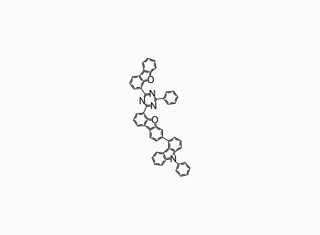 c1ccc(-c2nc(-c3cccc4c3oc3ccccc34)nc(-c3cccc4c3oc3cc(-c5cccc6c5c5ccccc5n6-c5ccccc5)ccc34)n2)cc1